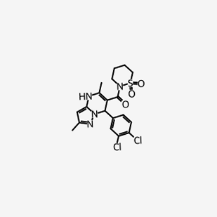 CC1=C(C(=O)N2CCCCS2(=O)=O)C(c2ccc(Cl)c(Cl)c2)n2nc(C)cc2N1